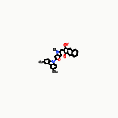 CCn1c(/C=C2\C(=O)c3cc4ccccc4cc3C2O)cc2oc(-n3c4ccc(C(C)(C)C)cc4c4cc(C(C)(C)C)ccc43)cc21